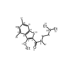 CCOc1c(C(=O)N(C)CCN(CC)CC)sc2cc(C)nc(C)c12